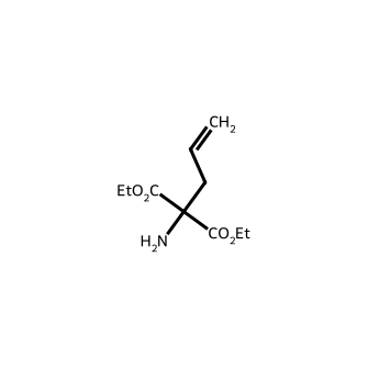 C=CCC(N)(C(=O)OCC)C(=O)OCC